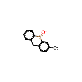 CCc1ccc2c(c1)[S+]([O-])c1ccccc1C2